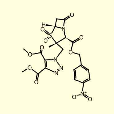 COC(=O)c1nnn(C[C@@]2(C)[C@H](C(=O)OCc3ccc([N+](=O)[O-])cc3)N3C(=O)C[C@H]3S2(=O)=O)c1C(=O)OC